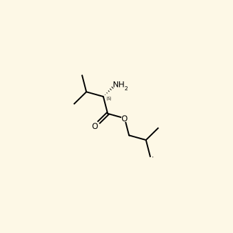 [CH2]C(C)COC(=O)[C@@H](N)C(C)C